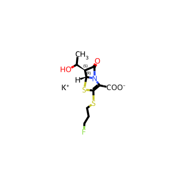 CC(O)[C@H]1C(=O)N2C(C(=O)[O-])=C(SCCCF)S[C@H]12.[K+]